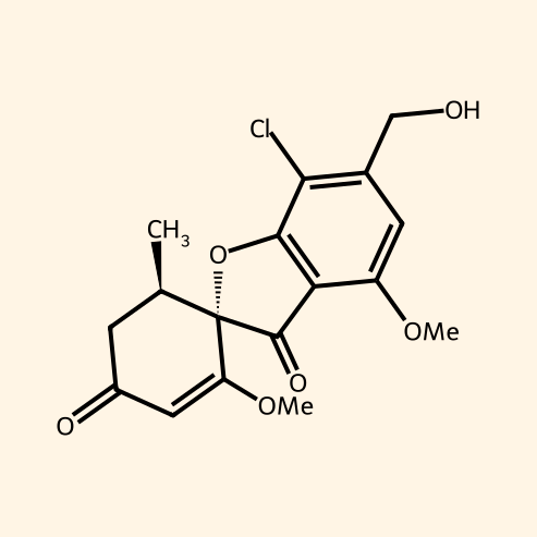 COC1=CC(=O)C[C@@H](C)[C@]12Oc1c(Cl)c(CO)cc(OC)c1C2=O